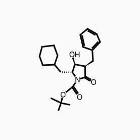 CC(C)(C)OC(=O)N1C(=O)[C@H](Cc2ccccc2)[C@H](O)[C@H]1CC1CCCCC1